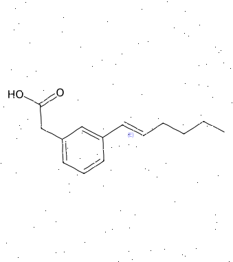 CCCC/C=C/c1cccc(CC(=O)O)c1